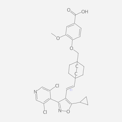 COc1cc(C(=O)O)ccc1OCC12CCC(/C=C/c3c(-c4c(Cl)cncc4Cl)noc3C3CC3)(CC1)CC2